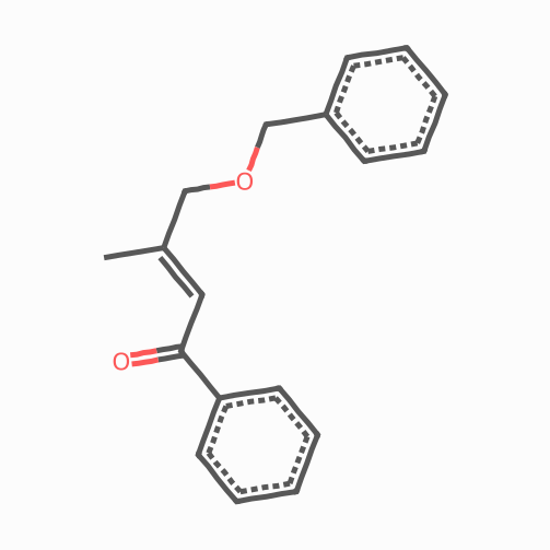 C/C(=C\C(=O)c1ccccc1)COCc1ccccc1